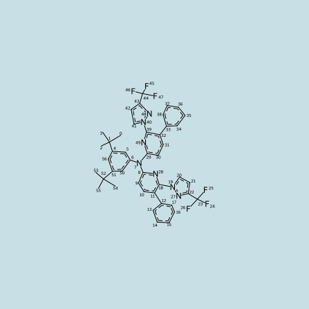 CC(C)(C)c1cc(N(c2ccc(-c3ccccc3)c(-n3ccc(C(F)(F)F)n3)n2)c2ccc(-c3ccccc3)c(-n3ccc(C(F)(F)F)n3)n2)cc(C(C)(C)C)c1